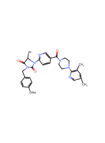 COc1ccc(CN2C(=O)C(C(C)C)N(c3ccc(C(=O)N4CCN(c5ncc(C)cc5C)CC4)cn3)C2=O)cc1